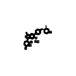 C[C@@H]1CNCC[C@@H]1CN1CCN(c2cc3c(cc2F)c(C2CCC(=O)NC2=O)nn3C)CC1.Cl